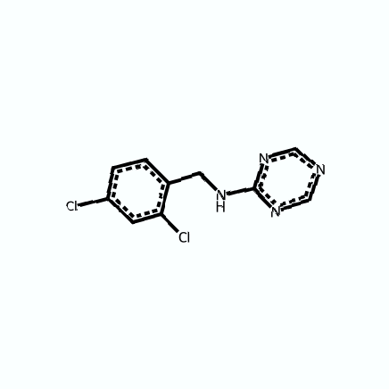 Clc1ccc(CNc2ncncn2)c(Cl)c1